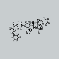 CCOc1cc(N2CCC(N(C)C(=O)OCc3ccccc3)CC2)ccc1-c1nc2c(C)nn(C3CCCCC3)c2c(=O)[nH]1